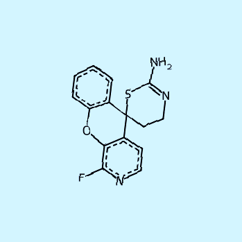 NC1=NCCC2(S1)c1ccccc1Oc1c2ccnc1F